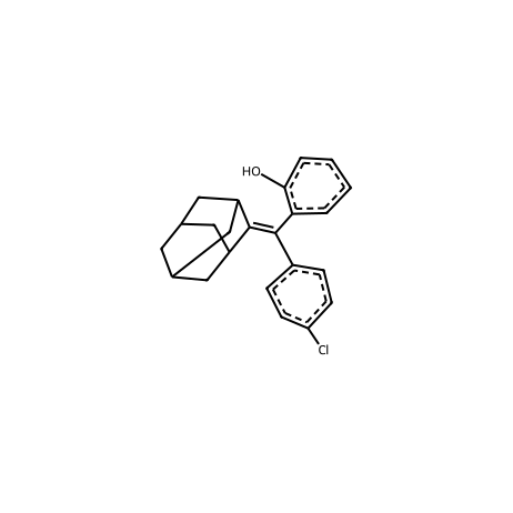 Oc1ccccc1C(=C1C2CC3CC(C2)CC1C3)c1ccc(Cl)cc1